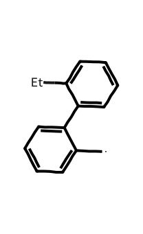 [CH2]c1ccccc1-c1ccccc1CC